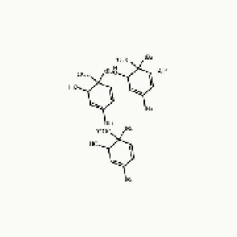 CC(C)(C)C1=CC(O)C(C(=O)[O-])(C(C)(C)C)C=C1.CC(C)(C)C1=CC(O)C(C(=O)[O-])(C(C)(C)C)C=C1.CC(C)(C)C1=CC(O)C(C(=O)[O-])(C(C)(C)C)C=C1.[Al+3]